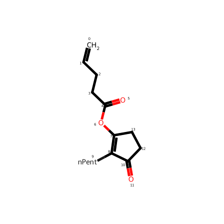 C=CCCC(=O)OC1=C(CCCCC)C(=O)CC1